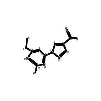 COc1cc(-n2cc(C(C)=O)cn2)nc(C)n1